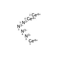 [Ge+4].[Ge+4].[Ge+4].[N-3].[N-3].[N-3].[N-3]